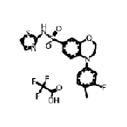 Cc1ccc(N2CCOc3cc(S(=O)(=O)Nc4nccs4)ccc32)cc1F.O=C(O)C(F)(F)F